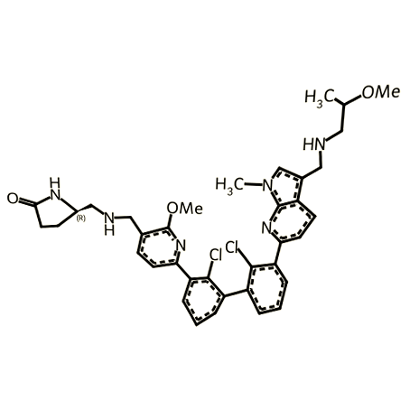 COc1nc(-c2cccc(-c3cccc(-c4ccc5c(CNCC(C)OC)cn(C)c5n4)c3Cl)c2Cl)ccc1CNC[C@H]1CCC(=O)N1